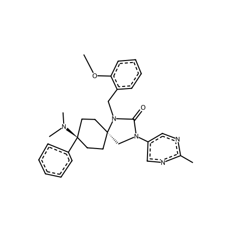 COc1ccccc1CN1C(=O)N(c2cnc(C)nc2)C[C@]12CC[C@](c1ccccc1)(N(C)C)CC2